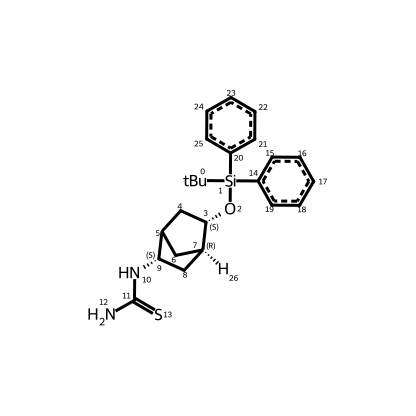 CC(C)(C)[Si](O[C@H]1CC2C[C@@H]1C[C@@H]2NC(N)=S)(c1ccccc1)c1ccccc1